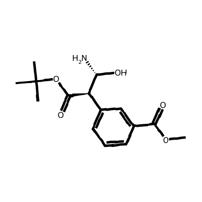 COC(=O)c1cccc([C@@H](C(=O)OC(C)(C)C)[C@H](N)O)c1